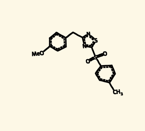 COc1ccc(Cc2nsc(S(=O)(=O)c3ccc(C)cc3)n2)cc1